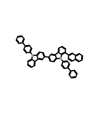 c1ccc(-c2ccc(-n3c4ccccc4c4cc(-c5ccc6c(c5)c5cccc(-c7ccc8ccccc8c7)c5n6-c5ccc(-c6ccccc6)cc5)ccc43)cc2)cc1